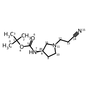 CC(C)(C)OC(=O)N[C@@H]1CCN(CCC#N)C1